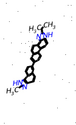 Cc1nc2ccc3cc(-c4ccc5c(ccc6c5ccc5[nH]c(C(C)C)nc56)c4)ccc3c2[nH]1